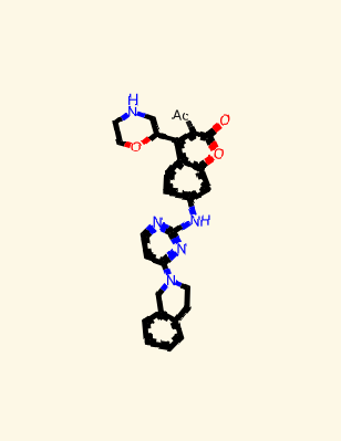 CC(=O)c1c(C2CNCCO2)c2ccc(Nc3nccc(N4CCc5ccccc5C4)n3)cc2oc1=O